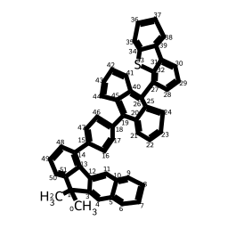 CC1(C)c2cc3ccccc3cc2-c2c(-c3ccc(-c4c5ccccc5c(-c5cccc6c5sc5ccccc56)c5ccccc45)cc3)cccc21